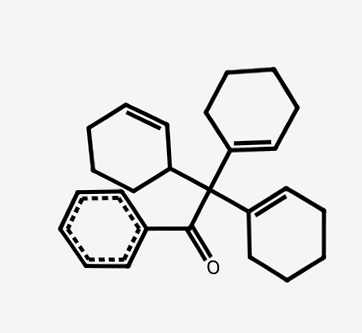 O=C(c1ccccc1)C(C1=CCCCC1)(C1=CCCCC1)C1C=CCCC1